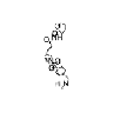 NCc1ccc(S(=O)(=O)n2ccc(C=CC(=O)NOC3CCCCO3)c2)cc1